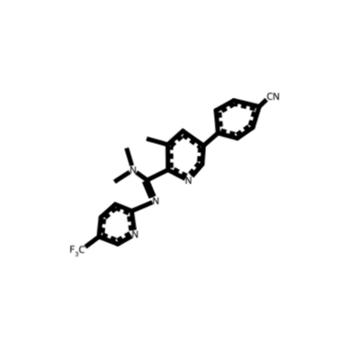 Cc1cc(-c2ccc(C#N)cc2)cnc1/C(=N/c1ccc(C(F)(F)F)cn1)N(C)C